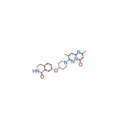 Cc1cc(=O)n2nc(N3CCC(Oc4ccc5c(c4)C(=O)NCC5)CC3)c(C)cc2n1